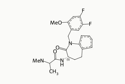 CNC(C)C(=O)N[C@H]1CCc2ccccc2N(Cc2cc(F)c(F)cc2OC)C1=O